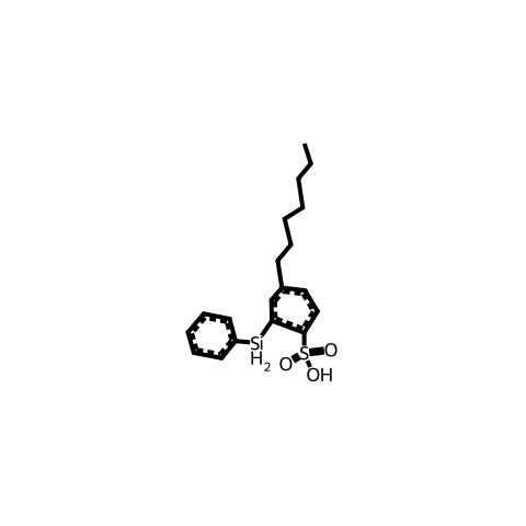 CCCCCCCc1ccc(S(=O)(=O)O)c([SiH2]c2ccccc2)c1